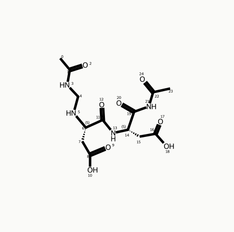 CC(=O)NCN[C@@H](CC(=O)O)C(=O)N[C@@H](CC(=O)O)C(=O)NC(C)=O